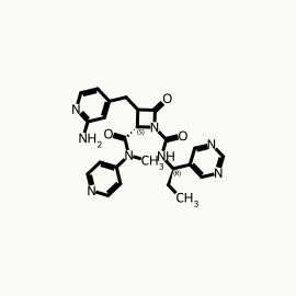 CC[C@@H](NC(=O)N1C(=O)C(Cc2ccnc(N)c2)[C@H]1C(=O)N(C)c1ccncc1)c1cncnc1